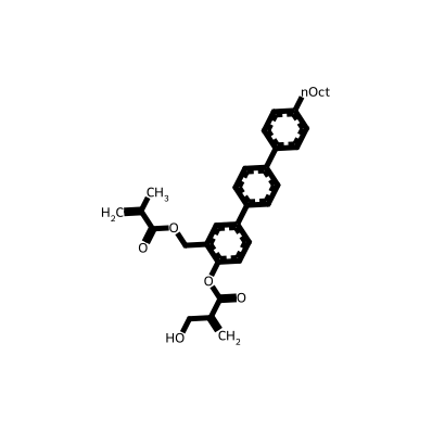 C=C(C)C(=O)OCc1cc(-c2ccc(-c3ccc(CCCCCCCC)cc3)cc2)ccc1OC(=O)C(=C)CO